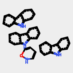 C1=CNOC=C1.c1ccc2c(c1)[nH]c1ccccc12.c1ccc2c(c1)[nH]c1ccccc12.c1ccc2c(c1)[nH]c1ccccc12